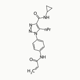 C=CC(=O)Nc1ccc(-n2nnc(C(=O)NC3CC3)c2CCC)cc1